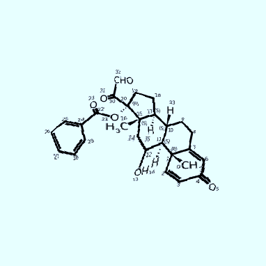 C[C@]12C=CC(=O)C=C1CC[C@@H]1[C@@H]2C(O)C[C@@]2(C)[C@H]1CC[C@]2(OC(=O)c1ccccc1)C(=O)C=O